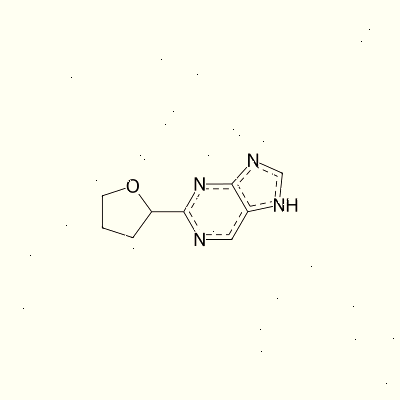 c1nc2nc(C3CCCO3)ncc2[nH]1